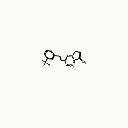 C=NC(/C=C/c1cccc(C(F)(F)F)c1)=NN1CC=C(C)N1